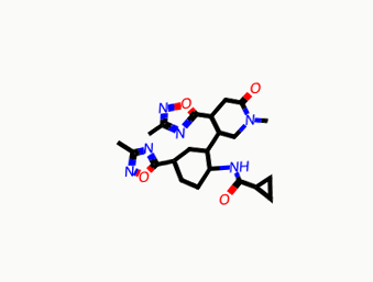 Cc1noc(C2CCC(NC(=O)C3CC3)C(C3CN(C)C(=O)CC3c3nc(C)no3)C2)n1